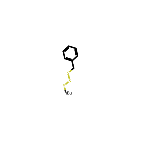 CCCCSSSCc1ccccc1